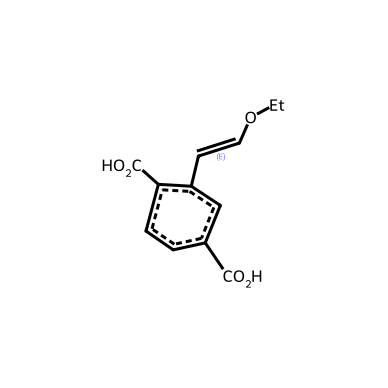 CCO/C=C/c1cc(C(=O)O)ccc1C(=O)O